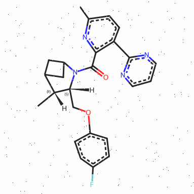 Cc1ccc(-c2ncccn2)c(C(=O)N2C3CC(C3)[C@@H](C)[C@H]2COc2ccc(F)cc2)n1